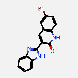 O=c1[nH]c2ccc(Br)cc2cc1-c1nc2ccccc2[nH]1